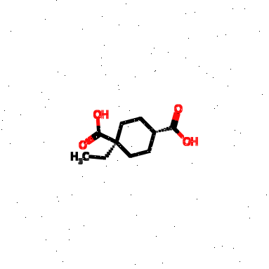 CC[C@]1(C(=O)O)CC[C@H](C(=O)O)CC1